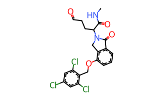 CNC(=O)C(CCC=O)N1Cc2c(OCc3c(Cl)cc(Cl)cc3Cl)cccc2C1=O